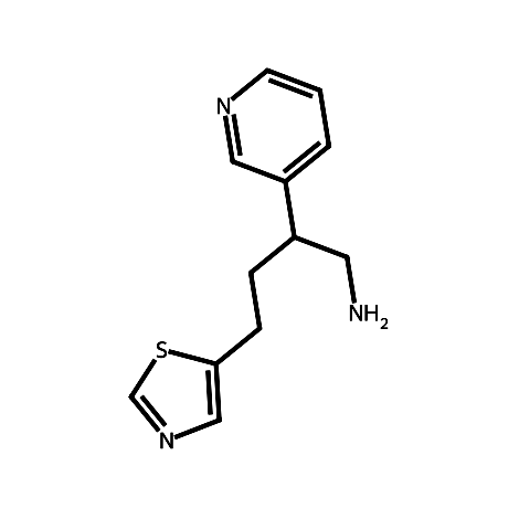 NCC(CCc1cncs1)c1cccnc1